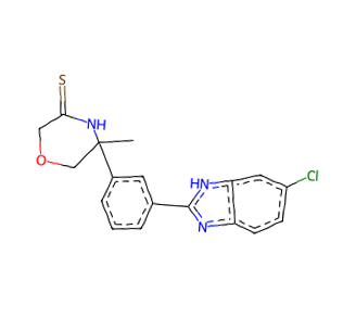 CC1(c2cccc(-c3nc4ccc(Cl)cc4[nH]3)c2)COCC(=S)N1